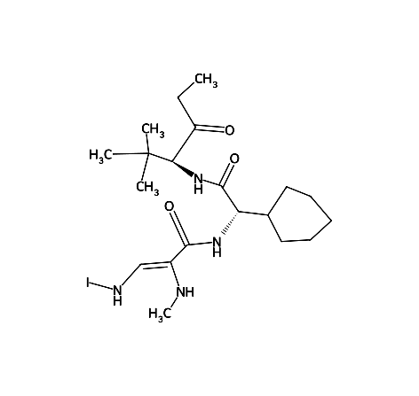 CCC(=O)[C@@H](NC(=O)[C@@H](NC(=O)/C(=C/NI)NC)C1CCCCC1)C(C)(C)C